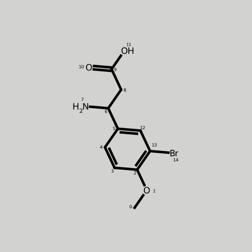 COc1ccc(C(N)CC(=O)O)cc1Br